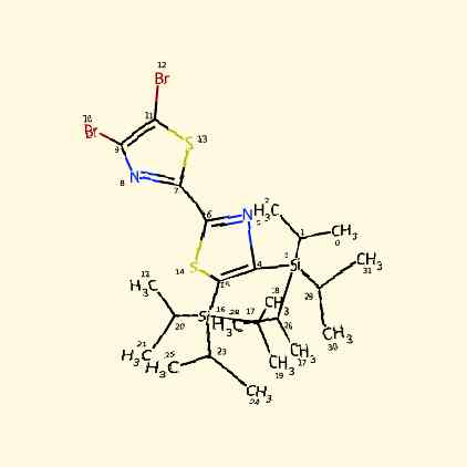 CC(C)[Si](c1nc(-c2nc(Br)c(Br)s2)sc1[Si](C(C)C)(C(C)C)C(C)C)(C(C)C)C(C)C